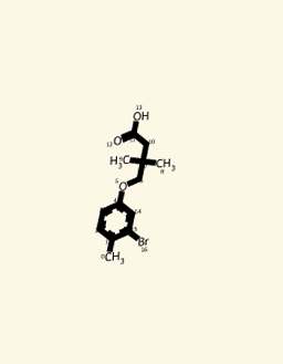 Cc1ccc(OCC(C)(C)CC(=O)O)cc1Br